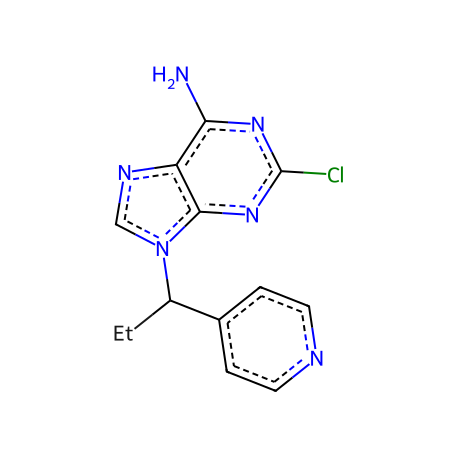 CCC(c1ccncc1)n1cnc2c(N)nc(Cl)nc21